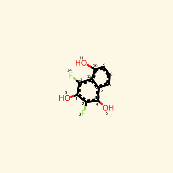 Oc1c(F)c(O)c2cccc(O)c2c1F